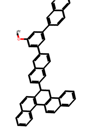 CC(C)Oc1cc(-c2ccc3ccccc3c2)cc(-c2ccc3cc(C4Cc5c(ccc6ccccc56)-c5c4ccc4ccccc54)ccc3c2)c1